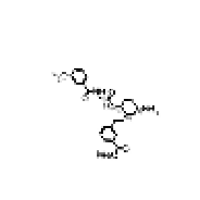 COC(=O)c1cccc(CC[C@@H]2C[C@H](N)CC[C@@H]2NC(=O)CNC(=O)c2cccc(C(F)(F)F)c2)c1